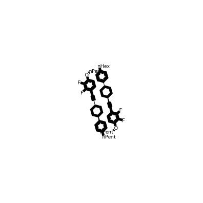 CCCCCCc1ccc([C@H]2CC[C@H](C#Cc3ccc(OCCCCC)c(F)c3F)CC2)cc1.CCCCCOc1ccc(C#C[C@H]2CC[C@H](c3ccc(CCCCC)cc3)CC2)c(F)c1F